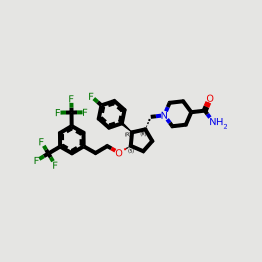 NC(=O)C1CCN(C[C@@H]2CC[C@H](OCCc3cc(C(F)(F)F)cc(C(F)(F)F)c3)[C@H]2c2ccc(F)cc2)CC1